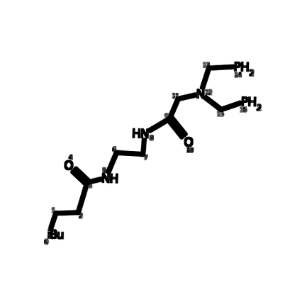 CCC(C)CCC(=O)NCCNC(=O)CN(CP)CP